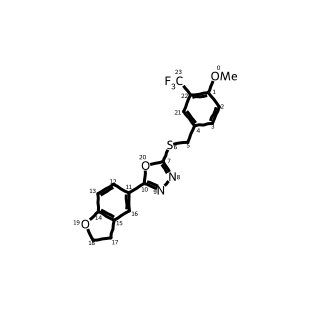 COc1ccc(CSc2nnc(-c3ccc4c(c3)CCO4)o2)cc1C(F)(F)F